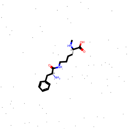 CN[C@@H](CCCCNC(=O)[C@H](N)Cc1ccccc1)C(=O)O